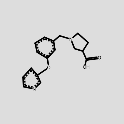 O=C(O)C1CCN(Cc2cccc(Oc3cccnc3)c2)C1